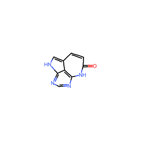 O=C1C=Cc2c[nH]c3ncnc(c23)N1